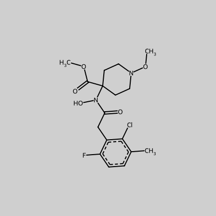 COC(=O)C1(N(O)C(=O)Cc2c(F)ccc(C)c2Cl)CCN(OC)CC1